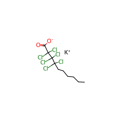 CCCCCCC(Cl)(Cl)C(Cl)(Cl)C(Cl)(Cl)C(=O)[O-].[K+]